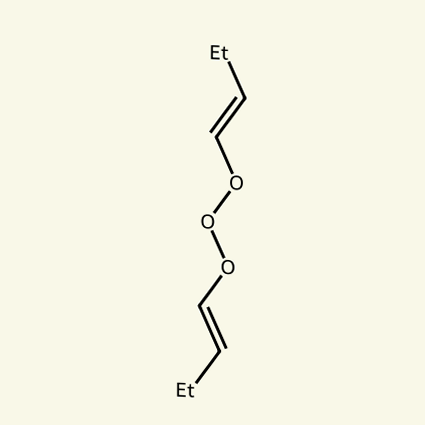 CCC=COOOC=CCC